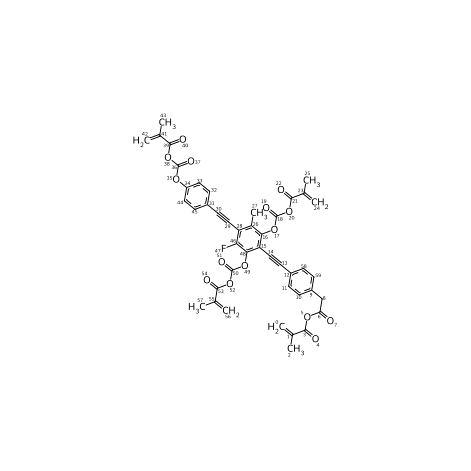 C=C(C)C(=O)OC(=O)Cc1ccc(C#Cc2c(OC(=O)OC(=O)C(=C)C)c(C)c(C#Cc3ccc(OC(=O)OC(=O)C(=C)C)cc3)c(F)c2OC(=O)OC(=O)C(=C)C)cc1